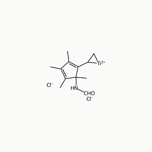 CC1=C(C)C(C)(NC=O)C([CH]2[CH2][Ti+2]2)=C1C.[Cl-].[Cl-]